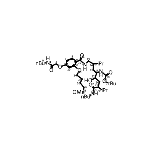 CCCCNC(=O)COc1ccc(C(=O)NCC(CC(NC(=O)OC(C)(C)C)C(O)CC(C(=O)NCCCC)C(C)C)C(C)C)c(OCCCCOC)c1